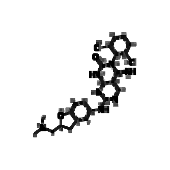 CN(C)CC1Cc2cc(Nc3ncc4c(=N)n(-c5c(Cl)cccc5Cl)c(=O)[nH]c4n3)ccc2O1